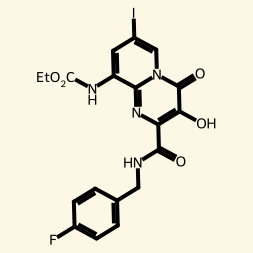 CCOC(=O)Nc1cc(I)cn2c(=O)c(O)c(C(=O)NCc3ccc(F)cc3)nc12